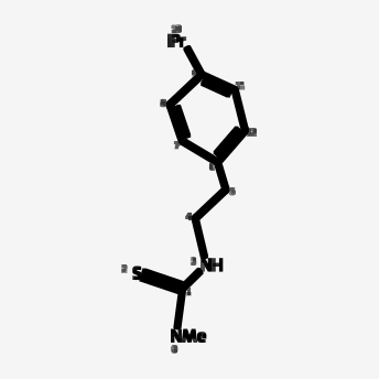 CNC(=S)NCCc1ccc(C(C)C)cc1